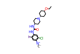 [C-]#[N+]c1cc(I)c(NC(=O)NC2CCN([C@H]3CC[C@H](OCC)CC3)CC2)cc1Cl